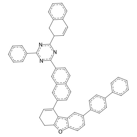 C1=CC(c2nc(-c3ccccc3)nc(-c3ccc4ccc(C5=CCCc6oc7ccc(-c8ccc(-c9ccccc9)cc8)cc7c65)cc4c3)n2)Cc2ccccc21